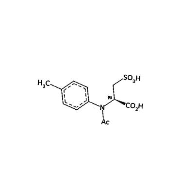 CC(=O)N(c1ccc(C)cc1)[C@@H](CS(=O)(=O)O)C(=O)O